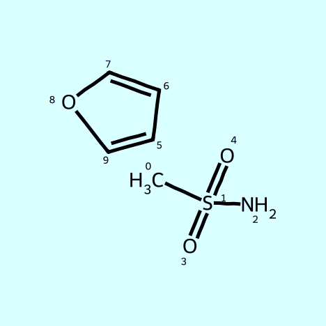 CS(N)(=O)=O.c1ccoc1